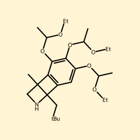 CCOC(C)Oc1cc2c(c(OC(C)OCC)c1OC(C)OCC)C1(C)CNC21CC(C)(C)C